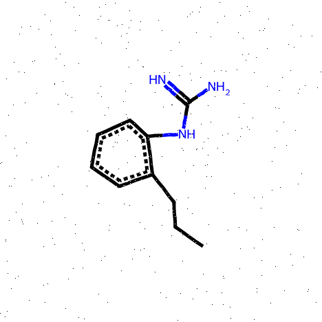 CCCc1ccccc1NC(=N)N